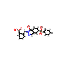 O=C(O)c1ccccc1Cn1ncc2cc(S(=O)(=O)c3ccccc3)ccc2c1=O